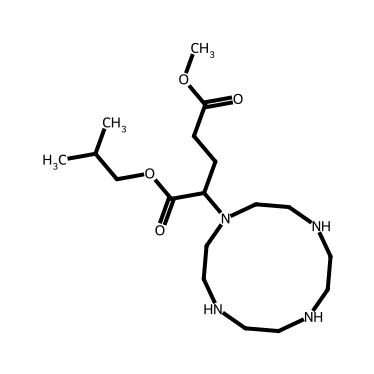 COC(=O)CCC(C(=O)OCC(C)C)N1CCNCCNCCNCC1